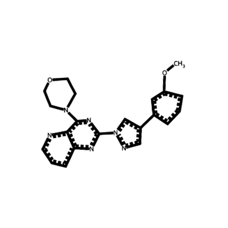 COc1cccc(-c2cnn(-c3nc(N4CCOCC4)c4ncccc4n3)c2)c1